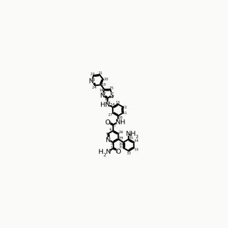 NC(=O)c1ncc(C(=O)Nc2cccc(Nc3nc(-c4cccnc4)cs3)c2)cc1-c1ccccc1N